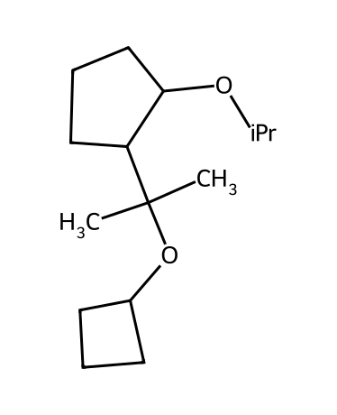 CC(C)OC1CCCC1C(C)(C)OC1CCC1